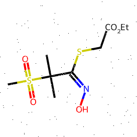 CCOC(=O)CSC(=NO)C(C)(C)S(C)(=O)=O